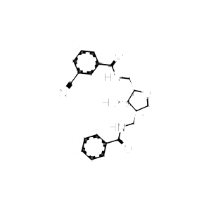 N#Cc1cccc(C(=O)NC[C@H]2OC[C@@H](CNC(=O)c3ccccc3)[C@@H]2O)c1